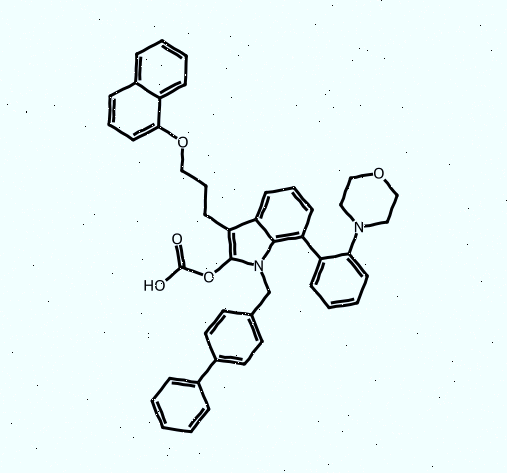 O=C(O)Oc1c(CCCOc2cccc3ccccc23)c2cccc(-c3ccccc3N3CCOCC3)c2n1Cc1ccc(-c2ccccc2)cc1